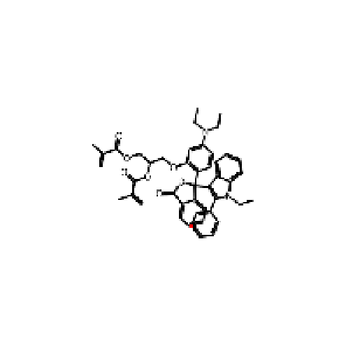 C=C(C)C(=O)OCC(COc1cc(N(CC)CC)ccc1C1(c2c(-c3ccccc3)n(CC)c3ccccc23)OC(=O)c2ccccc21)OC(=O)C(=C)C